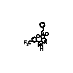 O=C1c2cnc3[nH]nc(-c4cccc(C(F)(F)F)c4)c3c2C(=O)N1CCc1ccccc1